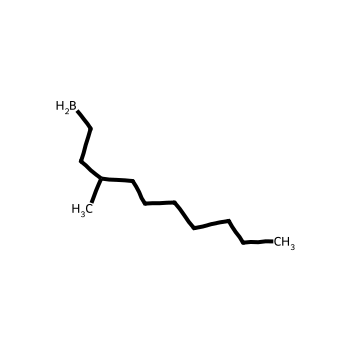 BCCC(C)CCCCCCC